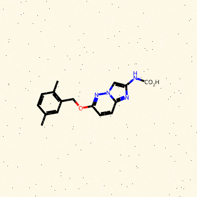 Cc1ccc(C)c(COc2ccc3nc(NC(=O)O)cn3n2)c1